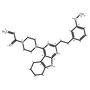 C=CC(=O)N1CCN(c2nc(CCc3cccc(OC)c3)nc3sc4c(c23)CCCC4)CC1